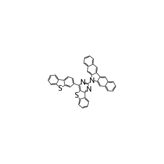 c1ccc2cc3c(cc2c1)c1cc2ccccc2cc1n3-c1nc(-c2ccc3c(c2)sc2ccccc23)c2sc3ccccc3c2n1